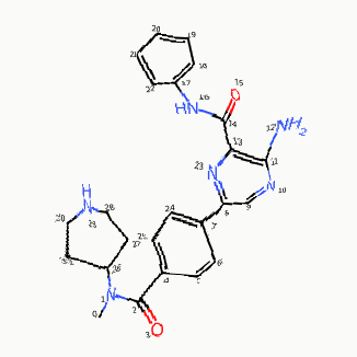 CN(C(=O)c1ccc(-c2cnc(N)c(C(=O)Nc3ccccc3)n2)cc1)C1CCNCC1